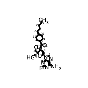 C#C[C@]1(CO)O[C@@H](n2cnc3c(N)nc(F)nc32)C[C@@H]1OC(=O)C1CCC(CCCCC)CC1